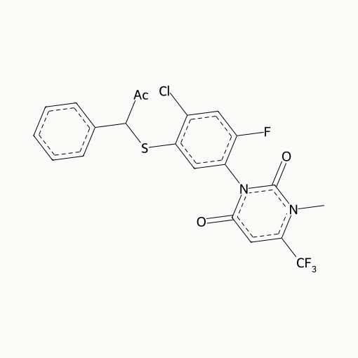 CC(=O)C(Sc1cc(-n2c(=O)cc(C(F)(F)F)n(C)c2=O)c(F)cc1Cl)c1ccccc1